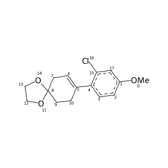 COc1ccc(C2=CCC3(CC2)OCCO3)c(Cl)c1